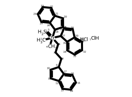 Cl.Cl.[CH3][Zr]([CH3])(=[SiH2])([CH2]CCC1C=Cc2ccccc21)([CH]1C=Cc2ccccc21)[CH]1C=Cc2ccccc21